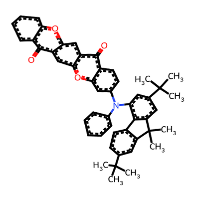 CC(C)(C)c1ccc2c(c1)C(C)(C)c1cc(C(C)(C)C)cc(N(c3ccccc3)c3ccc4c(=O)c5cc6oc7ccccc7c(=O)c6cc5oc4c3)c1-2